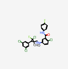 O=CC1(CNc2ccc(Cl)c(C(=O)Nc3ccc(F)cc3)c2)C(c2cc(Cl)cc(Cl)c2)C1(F)Cl